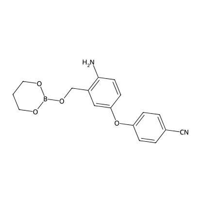 N#Cc1ccc(Oc2ccc(N)c(COB3OCCCO3)c2)cc1